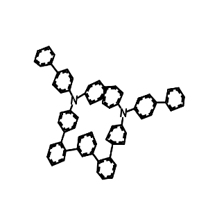 c1ccc(-c2ccc(N(c3ccccc3)c3ccc(-c4ccccc4-c4cccc(-c5ccccc5-c5ccc(N(c6ccccc6)c6ccc(-c7ccccc7)cc6)cc5)c4)cc3)cc2)cc1